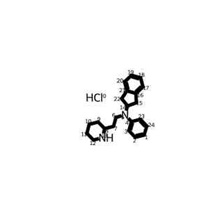 Cl.c1ccc(N(CCC2CCCCN2)C2Cc3ccccc3C2)cc1